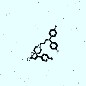 O=C1C=C(c2ccc(F)cc2)C2(CCN(CCCC(c3ccc(F)cc3)c3ccc(F)cc3)CC2)O1